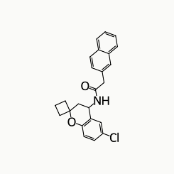 O=C(Cc1ccc2ccccc2c1)NC1CC2(CCC2)Oc2ccc(Cl)cc21